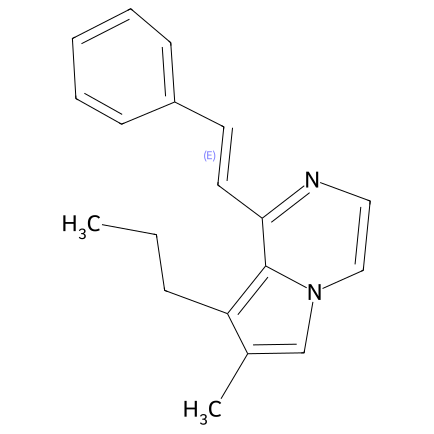 CCCc1c(C)cn2ccnc(/C=C/c3ccccc3)c12